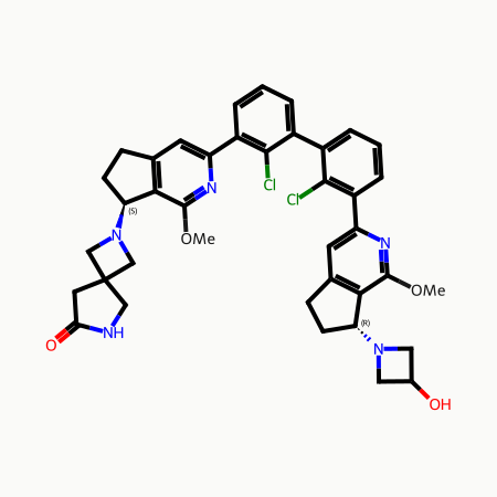 COc1nc(-c2cccc(-c3cccc(-c4cc5c(c(OC)n4)[C@@H](N4CC6(CNC(=O)C6)C4)CC5)c3Cl)c2Cl)cc2c1[C@H](N1CC(O)C1)CC2